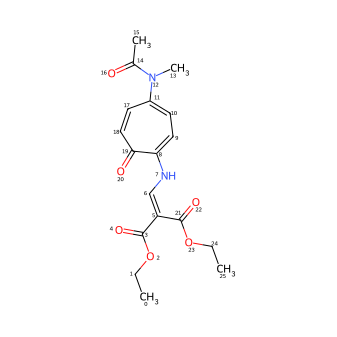 CCOC(=O)C(=CNc1ccc(N(C)C(C)=O)ccc1=O)C(=O)OCC